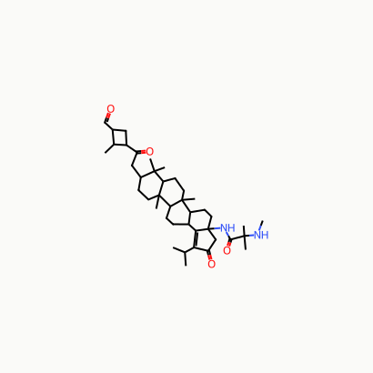 CNC(C)(C)C(=O)NC12CCC3C(CCC4C3(C)CCC3C(C)(C)C(CC(=O)C5CC(C=O)C5C)CCC34C)C1=C(C(C)C)C(=O)C2